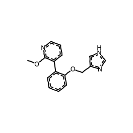 COc1ncccc1-c1ccccc1OCc1c[nH]cn1